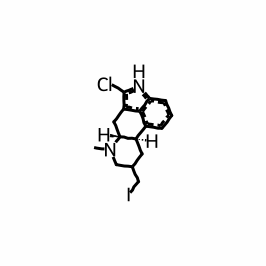 CN1CC(CI)C[C@@H]2c3cccc4[nH]c(Cl)c(c34)C[C@H]21